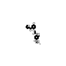 Cc1cc(S(N)(=O)=O)ccc1NC(=O)COc1ccc(Cl)cc1C(=O)c1ccco1